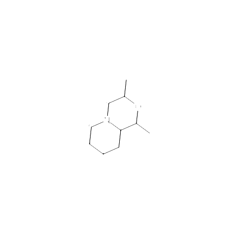 CC1CN2CCCCC2C(C)O1